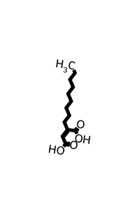 CCCCCCCCCC(=CC(=O)O)C(=O)O